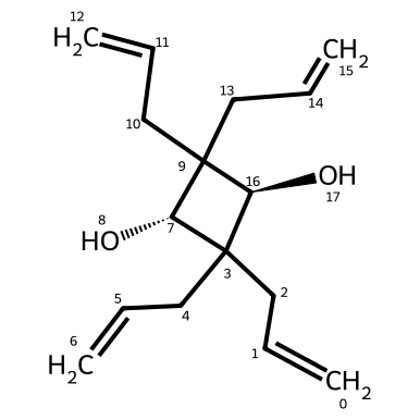 C=CCC1(CC=C)[C@H](O)C(CC=C)(CC=C)[C@H]1O